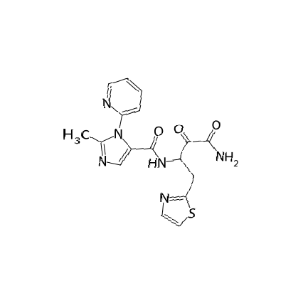 Cc1ncc(C(=O)NC(Cc2nccs2)C(=O)C(N)=O)n1-c1ccccn1